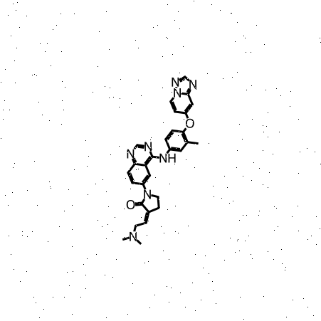 Cc1cc(Nc2ncnc3ccc(N4CC/C(=C/CN(C)C)C4=O)cc23)ccc1Oc1ccn2ncnc2c1